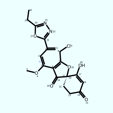 C=C(/C=C(/OC)C1=C(CCl)O[C@]2(CCC(=O)C=C2O)C1=O)c1nnc(CC)o1